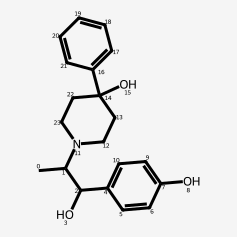 CC(C(O)c1ccc(O)cc1)N1CCC(O)(c2ccccc2)CC1